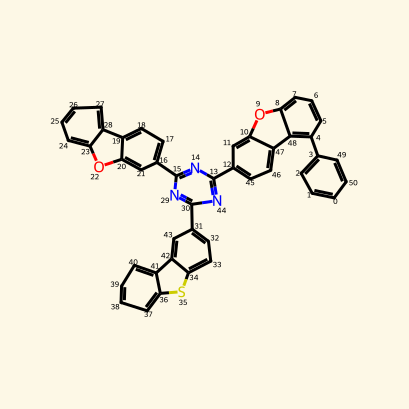 c1ccc(-c2cccc3oc4cc(-c5nc(-c6ccc7c(c6)oc6ccccc67)nc(-c6ccc7sc8ccccc8c7c6)n5)ccc4c23)cc1